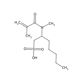 C=C(C)C(=O)N(C)C(CCCCC)CS(=O)(=O)O